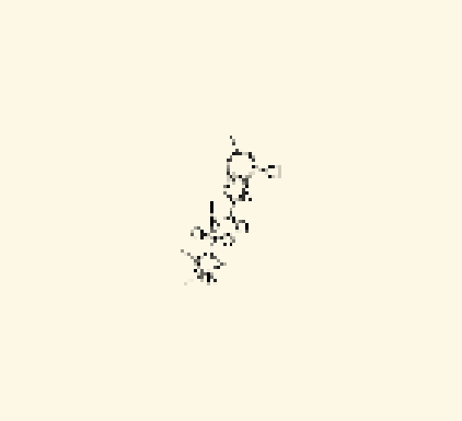 Cc1cc(Cl)c2nc(C(=O)NS(=O)(=O)c3c(C)nn(C)c3C)cn2c1